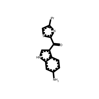 CC(C)c1csc(C(=O)c2c[nH]c3cc(N)ccc23)n1